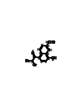 CCC(Br)C(=O)c1ccc(O)c2nc(C=O)ccc12